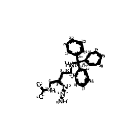 N=[N+]=NC(CNC(=O)[O-])CC(=O)NC(c1ccccc1)(c1ccccc1)c1ccccc1